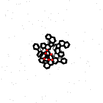 CC1(C2(C)c3ccc4ccccc4c3-c3c2cc(N(c2ccc4ccc5cccc6ccc2c4c56)c2cccc4c2oc2ccccc24)c2ccccc32)c2ccc3ccccc3c2-c2c1cc(N(C1=CC=C3C=Cc4cccc5c4C3C1C=C5)c1cccc3c1oc1ccccc13)c1ccccc21